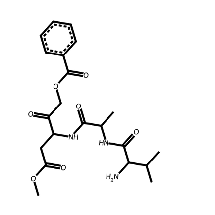 COC(=O)CC(NC(=O)C(C)NC(=O)C(N)C(C)C)C(=O)COC(=O)c1ccccc1